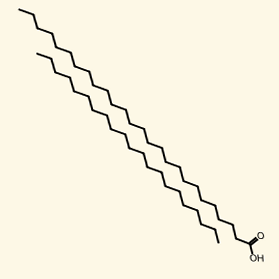 CCCCCCCCCCCCCCCCCCCCC.CCCCCCCCCCCCCCCCCCCCCCCCCC(=O)O